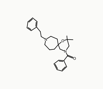 CC1(C)CN(C(=O)c2ccccc2)CC2(CCCN(CCc3ccccc3)CC2)O1